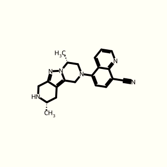 C[C@@H]1CN(c2ccc(C#N)c3ncccc23)Cc2c3c(nn21)CN[C@@H](C)C3